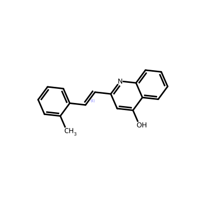 Cc1ccccc1/C=C/c1cc(O)c2ccccc2n1